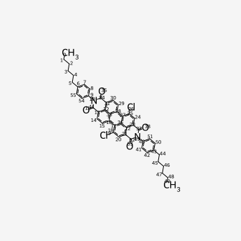 CCCCCCc1ccc(N2C(=O)c3ccc4c5c(Cl)cc6c7c(cc(Cl)c(c8ccc(c3c48)C2=O)c75)C(=O)N(c2ccc(CCCCCC)cc2)C6=O)cc1